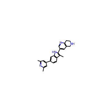 Cc1cc(-c2ccc3c(C)c(-c4cnc5c(c4)CNCC5)[nH]c3c2)cc(C)n1